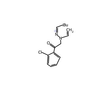 C=CN(CC(=O)c1ccccc1Cl)/N=C\C(C)CC